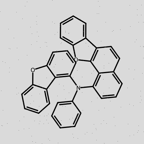 c1ccc(N(c2cccc3oc4ccccc4c23)c2cccc3ccc4c5ccccc5oc4c23)cc1